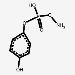 NOP(=O)(O)Oc1ccc(O)cc1